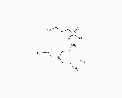 CCCN(CCC)CCC.N.O=S(=O)(O)CCCO